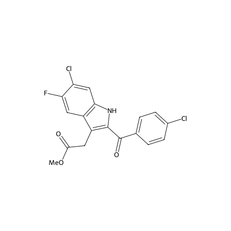 COC(=O)Cc1c(C(=O)c2ccc(Cl)cc2)[nH]c2cc(Cl)c(F)cc12